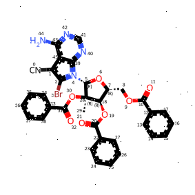 [C-]#[N+]c1c(Br)n([C@@H]2O[C@H](COC(=O)c3ccccc3)[C@@H](OC(=O)c3ccccc3)[C@@]2(C)OC(=O)c2ccccc2)c2ncnc(N)c12